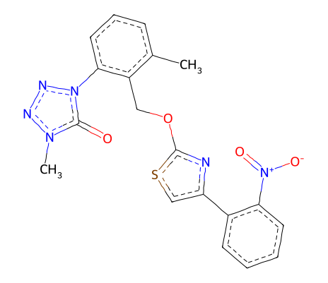 Cc1cccc(-n2nnn(C)c2=O)c1COc1nc(-c2ccccc2[N+](=O)[O-])cs1